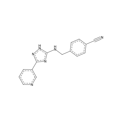 N#Cc1ccc(CNc2nc(-c3cccnc3)n[nH]2)cc1